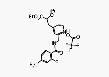 CCOC(=O)C(Cc1ccnc(CNC(=O)c2ccc(C(F)(F)F)cc2F)c1)OC(C)C.O=C(O)C(F)(F)F